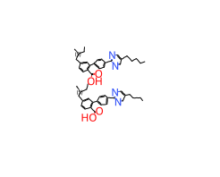 CCCCCc1cnc(-c2ccc(-c3cc(C[C@@H](C)CC)ccc3C(=O)O)cc2)nc1.CCCCc1cnc(-c2ccc(-c3cc(C[C@@H](C)CC)ccc3C(=O)O)cc2)nc1